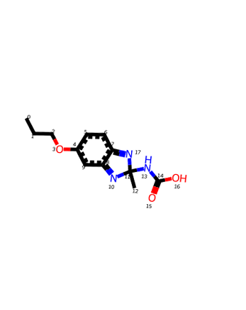 CCCOc1ccc2c(c1)=NC(C)(NC(=O)O)N=2